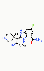 COC(=N)/C(=C1/Nc2cc(F)cc(C(N)=O)c2N1)C1(C)CCNCC1